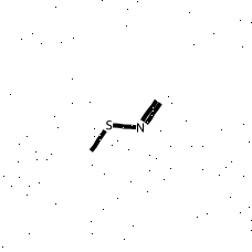 C=NSC